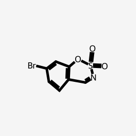 O=S1(=O)N=Cc2ccc(Br)cc2O1